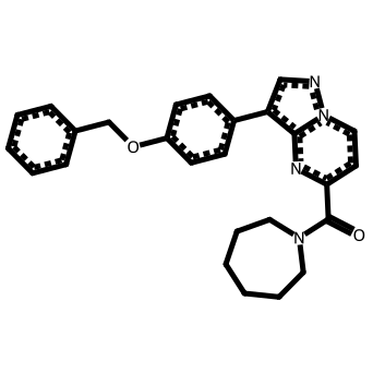 O=C(c1ccn2ncc(-c3ccc(OCc4ccccc4)cc3)c2n1)N1CCCCCC1